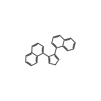 [C]1=C(c2cccc3ccccc23)C(c2cccc3ccccc23)=CC1